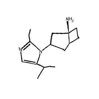 Cc1ncc(C(C)C)n1C1CC2CC[C@@]2(N)C1